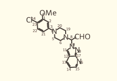 COc1cc(N2CCN(C(C=O)n3cc4cccnc4n3)CC2)ccc1Cl